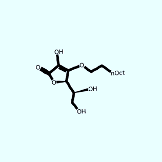 CCCCCCCCCCOC1=C(O)C(=O)O[C@@H]1[C@@H](O)CO